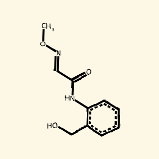 CON=CC(=O)Nc1ccccc1CO